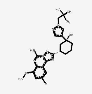 COc1cc(F)cc2c1nc(N)n1nc([C@H]3CCC[C@@](O)(c4cnn(CC(C)(C)O)c4)C3)nc21